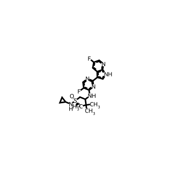 CC(C)(C)C(CS(=O)(=O)NC1CC1)Nc1nc(-c2c[nH]c3ncc(F)cc23)ncc1F